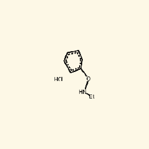 CCNOc1ccccc1.Cl